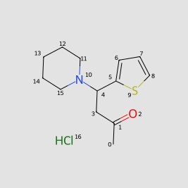 CC(=O)CC(c1cccs1)N1CCCCC1.Cl